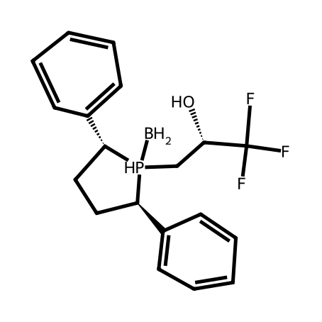 B[PH]1(C[C@H](O)C(F)(F)F)[C@@H](c2ccccc2)CC[C@@H]1c1ccccc1